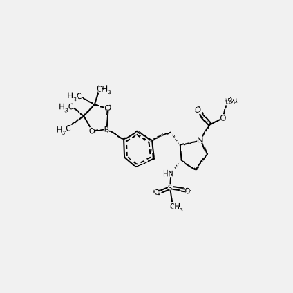 CC(C)(C)OC(=O)N1CC[C@H](NS(C)(=O)=O)[C@@H]1Cc1cccc(B2OC(C)(C)C(C)(C)O2)c1